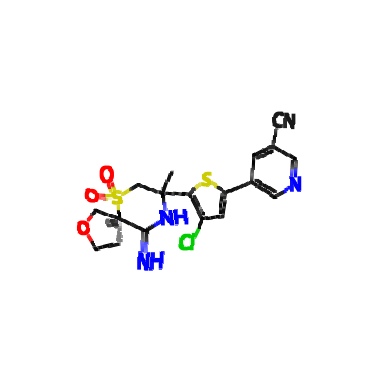 CC1(c2sc(-c3cncc(C#N)c3)cc2Cl)CS(=O)(=O)[C@@]2(CCOC2)C(=N)N1